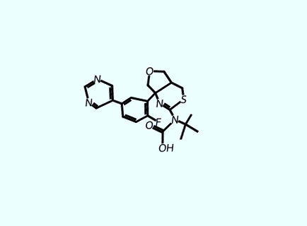 CC(C)(C)N(C(=O)O)C1=NC2(c3cc(-c4cncnc4)ccc3F)COCC2CS1